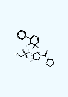 CCS(=O)(=O)N[C@H]1[C@@H](F)CN(C(=O)[C@@H]2CCCO2)[C@H]1CC1(F)C=CC=C(c2ccccc2)C1F